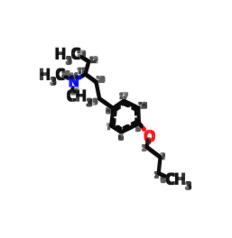 CCCCOc1ccc(CCC(CC)N(C)C)cc1